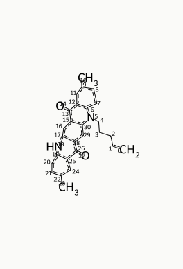 C=CCCCn1c2ccc(C)cc2c(=O)c2cc3[nH]c4ccc(C)cc4c(=O)c3cc21